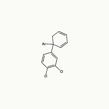 CC(=O)C1(c2ccc(Cl)c(Cl)c2)C=CC=CC1